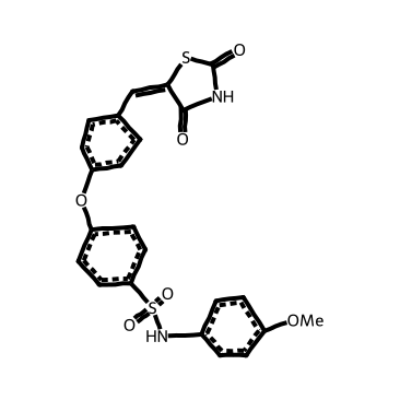 COc1ccc(NS(=O)(=O)c2ccc(Oc3ccc(C=C4SC(=O)NC4=O)cc3)cc2)cc1